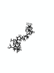 CC(C)Cc1nc(N[C@H]2CCC(N(C)CC(F)CCN(C)C(=O)OC(C)(C)C)C2)ncc1C(F)(F)F